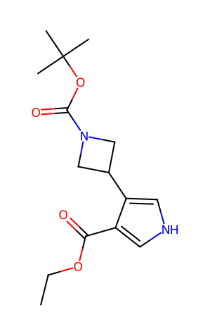 CCOC(=O)c1c[nH]cc1C1CN(C(=O)OC(C)(C)C)C1